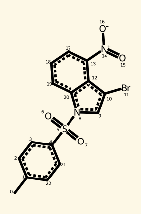 Cc1ccc(S(=O)(=O)n2cc(Br)c3c([N+](=O)[O-])cccc32)cc1